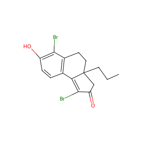 CCCC12CCc3c(ccc(O)c3Br)C1=C(Br)C(=O)C2